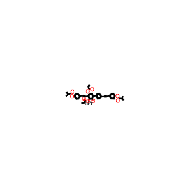 C=CC(=O)Oc1cc(-c2ccc(C#Cc3ccc(OC(=O)C(=C)C)cc3)cc2)c(OCCC)c(OC(=O)C=C)c1C#Cc1ccc(OC(=O)C(=C)C)cc1